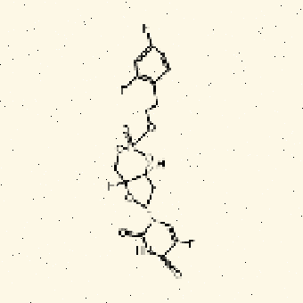 O=c1[nH]c(=O)n([C@H]2C[C@@H]3OP(=O)(OCCc4ccc(F)cc4F)OC[C@H]3O2)cc1F